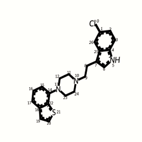 Clc1ccc2[nH]cc(CCN3CCN(c4cccc5ccsc45)CC3)c2c1